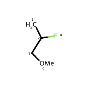 [CH2]OCC(C)F